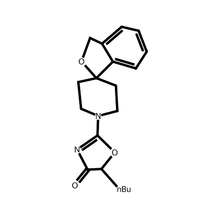 CCCCC1OC(N2CCC3(CC2)OCc2ccccc23)=NC1=O